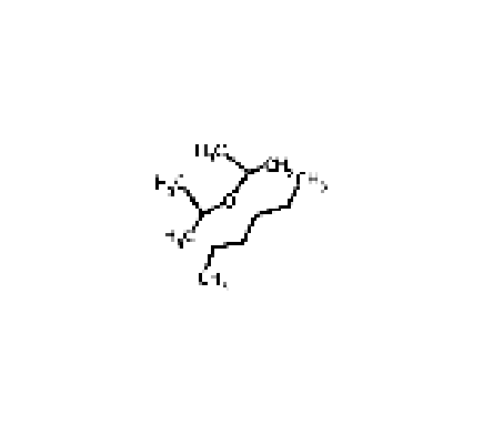 CC(C)OC(C)C.CCCCCC